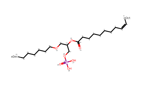 CCCCCCCC/C=C\CCCCCCCC(=O)OC(COCCCCCCCCCCCCCCCC)COP(=O)(O)O